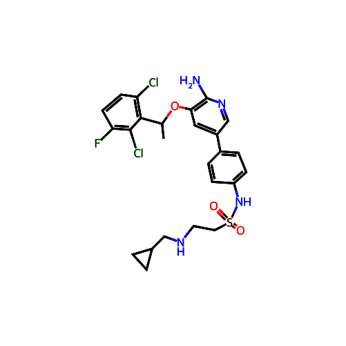 CC(Oc1cc(-c2ccc(NS(=O)(=O)CCNCC3CC3)cc2)cnc1N)c1c(Cl)ccc(F)c1Cl